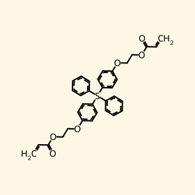 C=CC(=O)OCCOc1ccc(S(c2ccccc2)(c2ccccc2)c2ccc(OCCOC(=O)C=C)cc2)cc1